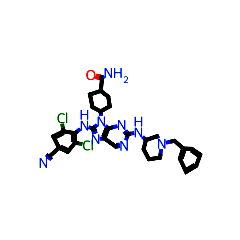 N#Cc1cc(Cl)c(Nc2nc3cnc(NC4CCCN(Cc5ccccc5)C4)nc3n2C2CCC(C(N)=O)CC2)c(Cl)c1